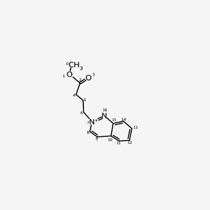 COC(=O)CCC[n+]1ccc2ccccc2n1